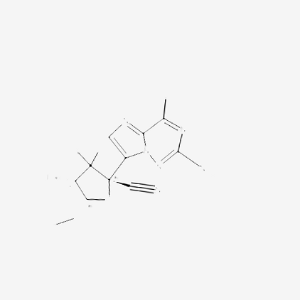 N#C[C@@]1(c2cnc3c(O)nc(N)nn23)O[C@H](CO)[C@H](O)C1(Cl)Cl